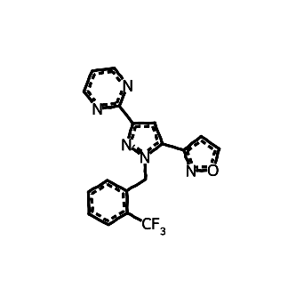 FC(F)(F)c1ccccc1Cn1nc(-c2ncccn2)cc1-c1ccon1